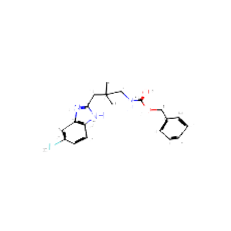 CC(C)(CNC(=O)OCc1ccccc1)Cc1nc2cc(F)ccc2[nH]1